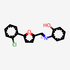 Oc1ccccc1/N=C/c1ccc(-c2ccccc2Cl)o1